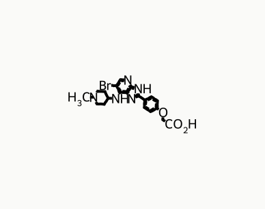 CN1CCC(Nc2c(Br)cnc3[nH]c(-c4ccc(OCC(=O)O)cc4)nc23)CC1